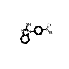 CCN(CC)c1ccc(-n2c(S)nc3ccccc32)cc1